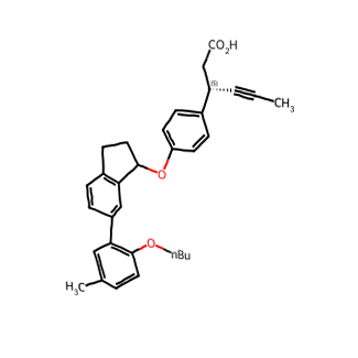 CC#C[C@@H](CC(=O)O)c1ccc(OC2CCc3ccc(-c4cc(C)ccc4OCCCC)cc32)cc1